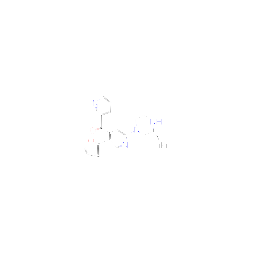 CC(C)C[C@H]1CN(c2cc(C(=O)c3cccnc3)c(-c3ccco3)cn2)CCN1